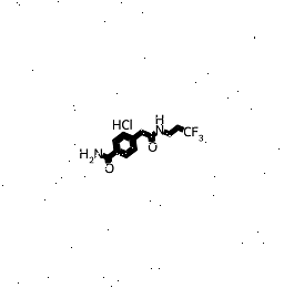 Cl.NC(=O)c1ccc(CC(=O)NCCC(F)(F)F)cc1